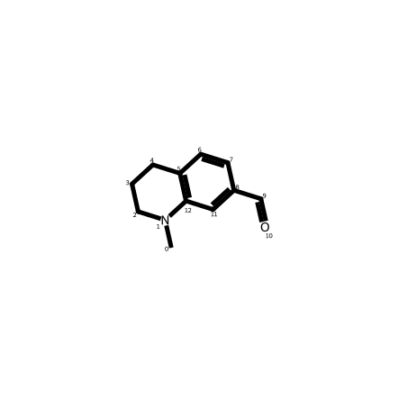 CN1CCCc2ccc(C=O)cc21